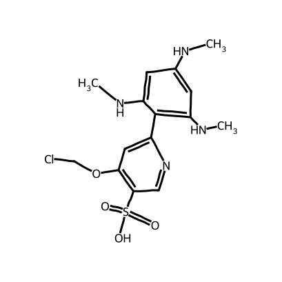 CNc1cc(NC)c(-c2cc(OCCl)c(S(=O)(=O)O)cn2)c(NC)c1